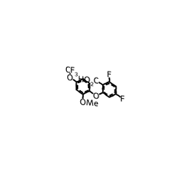 COc1cc(OC(F)(F)F)ccc1Oc1cc(F)cc(F)c1C(=O)O